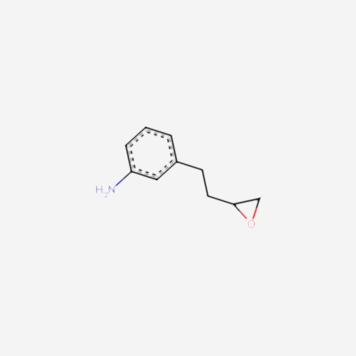 Nc1cccc(CCC2CO2)c1